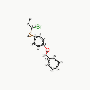 CCC(Br)Sc1ccc(OCc2ccccc2)cc1